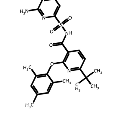 Cc1cc(C)c(Oc2nc(C(C)(C)C)ccc2C(=O)NS(=O)(=O)c2cccc(N)n2)c(C)c1